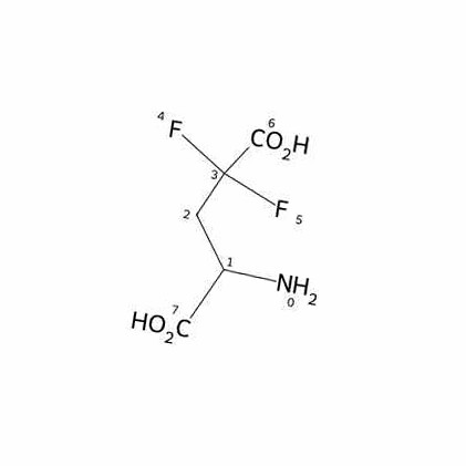 NC(CC(F)(F)C(=O)O)C(=O)O